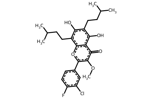 COc1c(-c2ccc(F)c(Cl)c2)oc2c(CCC(C)C)c(O)c(CCC(C)C)c(O)c2c1=O